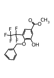 COC(=O)c1cc(O)c(OCc2ccccc2)c(C(F)(F)C(F)(F)F)c1